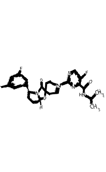 CC(C)NC(=O)c1nc(N2CCC3(CC2)O[C@@H]2CC[C@@H](c4cc(F)cc(F)c4)N2C3=O)ncc1F